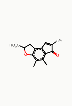 CCCC1=Cc2c3c(c(C)c(C)c2C1=O)OC(C(=O)O)C3